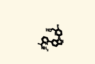 C[C@H](N)c1cccc(-c2ccc3cnn(-c4ccc(F)c(CO)n4)c3c2)n1